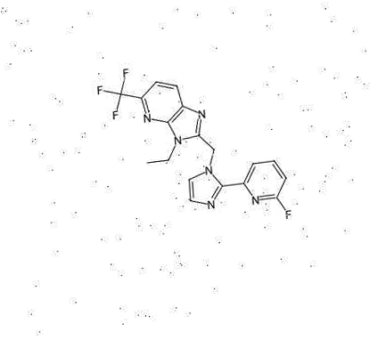 CCn1c(Cn2ccnc2-c2cccc(F)n2)nc2ccc(C(F)(F)F)nc21